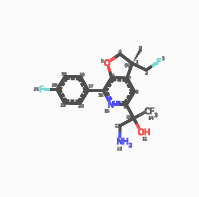 C[C@@]1(CF)COc2c1cc(C(O)(CN)C(F)(F)F)nc2-c1ccc(F)cc1